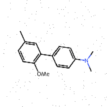 COc1ccc(C)cc1-c1ccc(N(C)C)cc1